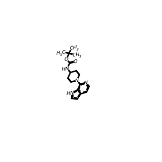 CC(C)(C)OC(=O)NC1CCN(c2nccc3cc[nH]c23)CC1